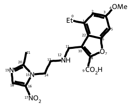 CCc1cc(OC)cc2oc(C(=O)O)c(CNCCn3c([N+](=O)[O-])cnc3C)c12